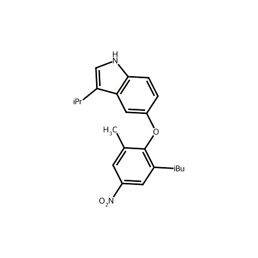 CCC(C)c1cc([N+](=O)[O-])cc(C)c1Oc1ccc2[nH]cc(C(C)C)c2c1